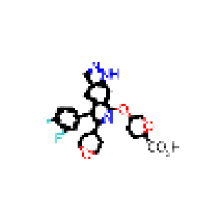 O=C(O)C1CCC(Oc2nc(C3CCOCC3)c(-c3ccc(F)c(F)c3)c3cc4cn[nH]c4cc23)CO1